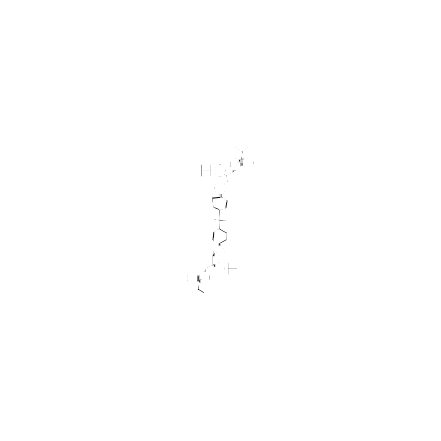 C=C(C)C(=O)OCC(O)COc1ccc(C(C)(C)c2ccc(OCC(O)COC(=O)C(C)C)cc2)cc1